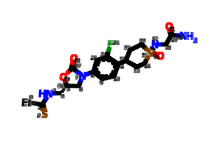 CCC(=S)NC[C@H]1CN(c2ccc(C3CCS(=O)(=NCC(N)=O)CC3)c(F)c2)C(=O)O1